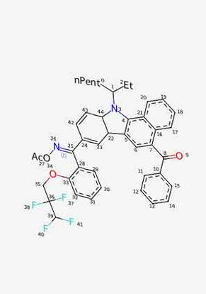 CCCCCC(CC)N1c2c(cc(C(=O)c3ccccc3)c3ccccc23)C2C=C(/C(=N/OC(C)=O)c3ccccc3OCC(F)(F)C(F)F)C=CC21